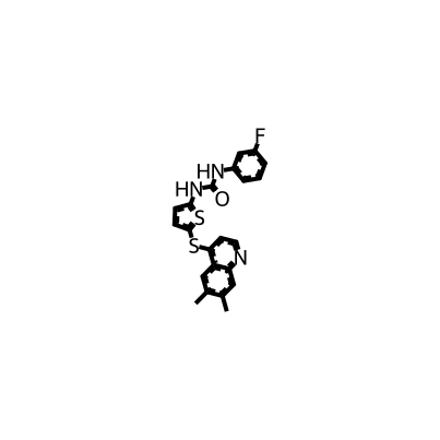 Cc1cc2nccc(Sc3ccc(NC(=O)Nc4cccc(F)c4)s3)c2cc1C